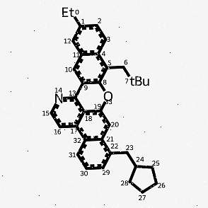 CCc1ccc2c(CC(C)(C)C)c3c(cc2c1)-c1nccc2c1c(cc1c(CC4CCCC4)cccc12)O3